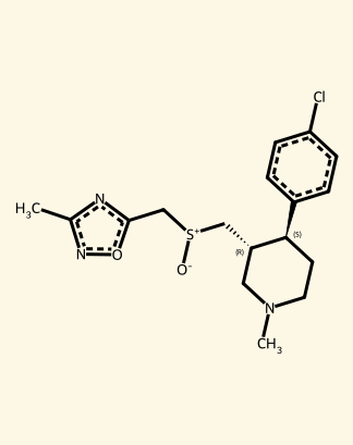 Cc1noc(C[S+]([O-])C[C@H]2CN(C)CC[C@@H]2c2ccc(Cl)cc2)n1